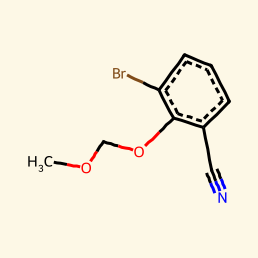 COCOc1c(Br)cccc1C#N